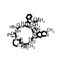 C=CC(C)(C)n1cc(C[C@@H]2NC(=O)[C@H](CCCC)NC(=O)[C@H](CC(C)C)N3CC/C=C\C[C@@H](C3=O)N(C)C(=O)[C@H](C)NC(=O)[C@H](Cc3ccc4cc(C)ncc4c3)NC(=O)[C@H](CC(C)C)N(C)C2=O)c2ccccc21